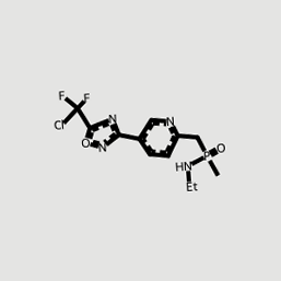 CCNP(C)(=O)Cc1ccc(-c2noc(C(F)(F)Cl)n2)cn1